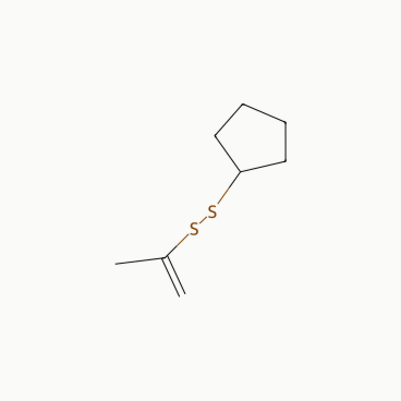 C=C(C)SSC1CCCC1